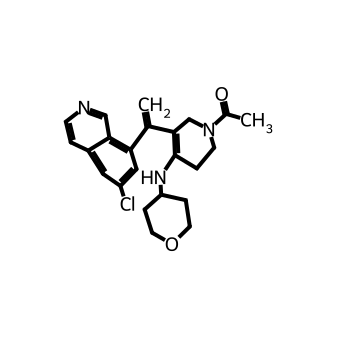 C=C(C1=C(NC2CCOCC2)CCN(C(C)=O)C1)c1cc(Cl)cc2ccncc12